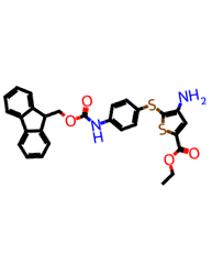 CCOC(=O)c1cc(N)c(Sc2ccc(NC(=O)OCC3c4ccccc4-c4ccccc43)cc2)s1